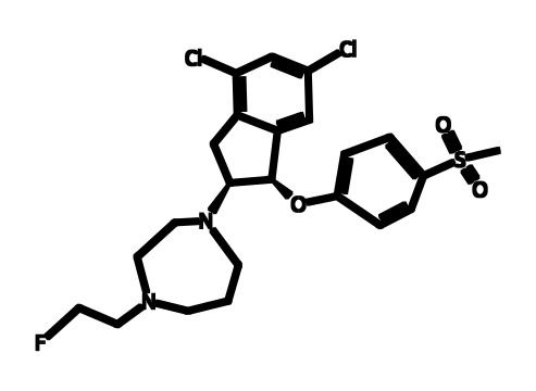 CS(=O)(=O)c1ccc(O[C@@H]2c3cc(Cl)cc(Cl)c3C[C@@H]2N2CCCN(CCF)CC2)cc1